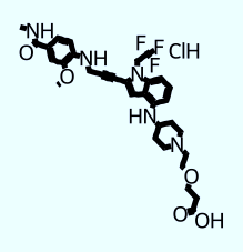 CNC(=O)c1ccc(NCC#Cc2cc3c(NC4CCN(CCOCCC(=O)O)CC4)cccc3n2CC(F)(F)F)c(OC)c1.Cl